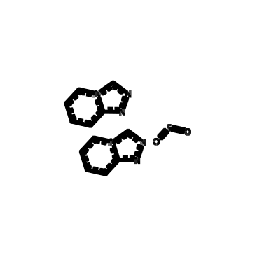 O=S=O.c1ccn2cnnc2c1.c1ccn2cnnc2c1